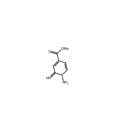 COC(=O)c1ccn(N)c(=N)c1